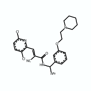 CCCC(NC(=O)/C(C#N)=C/c1nc(Cl)ccc1Cl)c1cccc(OCCN2CCCCC2)c1